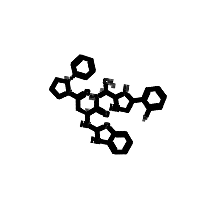 C[C@H](NC(=O)[C@H](CC(=O)N1CCC[C@@H]1c1ccccc1)NC1Nc2ccccc2O1)C1NCC(c2ccccc2F)N1